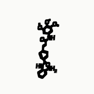 COc1cc(NC(=O)C=Cc2ccc(C(=O)Nc3ccccc3N)cc2)cc(OC)c1OC